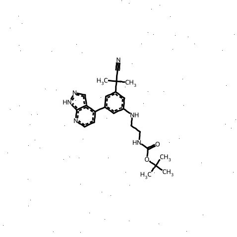 CC(C)(C)OC(=O)NCCNc1cc(-c2ccnc3[nH]ncc23)cc(C(C)(C)C#N)c1